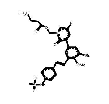 COc1c(/C=C/c2ccc(NS(C)(=O)=O)cc2)cc(-c2cc(F)cn(COC(=O)CCC(=O)O)c2=O)cc1C(C)(C)C